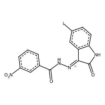 O=C1Nc2ccc(I)cc2/C1=N\NC(=O)c1cccc([N+](=O)[O-])c1